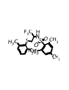 Cc1cc(C)c(S(=O)(=O)NC(CSc2c(C)cccc2C)C(F)(F)F)c(C)c1